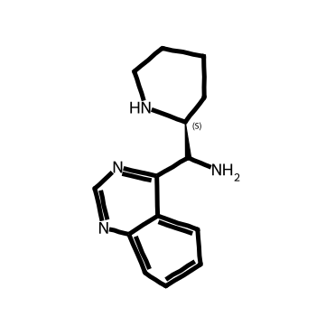 NC(c1ncnc2ccccc12)[C@@H]1CCCCN1